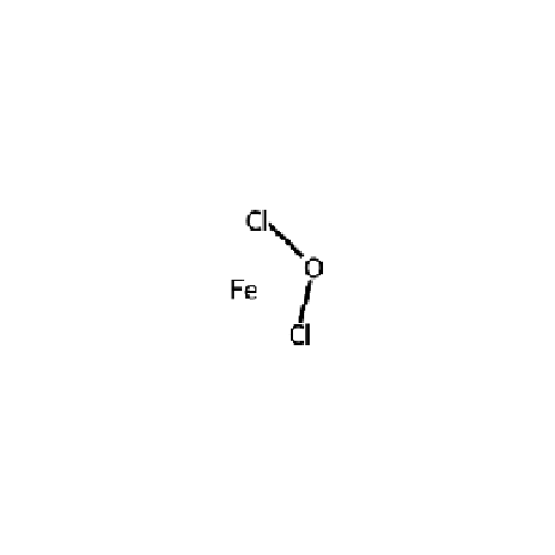 ClOCl.[Fe]